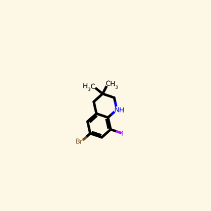 CC1(C)CNc2c(I)cc(Br)cc2C1